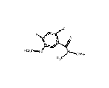 CON(C)C(=O)c1cc(NC(=O)O)c(F)cc1Cl